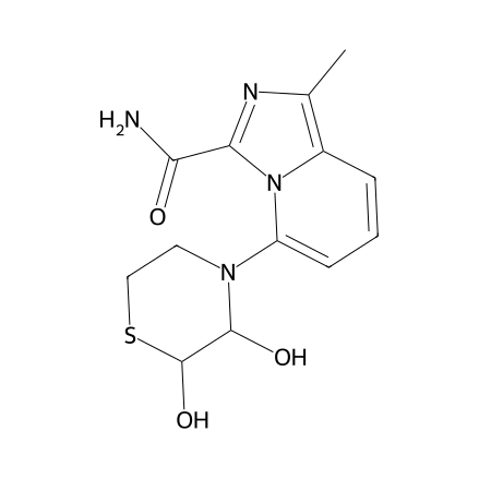 Cc1nc(C(N)=O)n2c(N3CCSC(O)C3O)cccc12